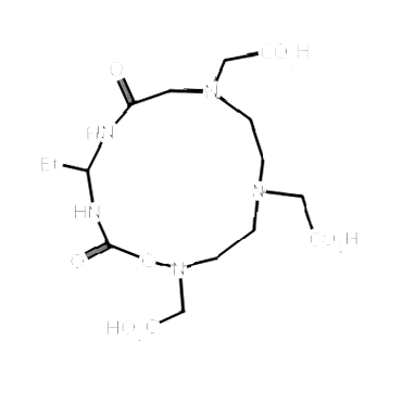 CC[C]1NC(=O)CN(CC(=O)O)CCN(CC(=O)O)CCN(CC(=O)O)CC(=O)N1